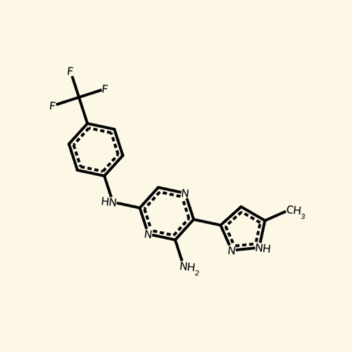 Cc1cc(-c2ncc(Nc3ccc(C(F)(F)F)cc3)nc2N)n[nH]1